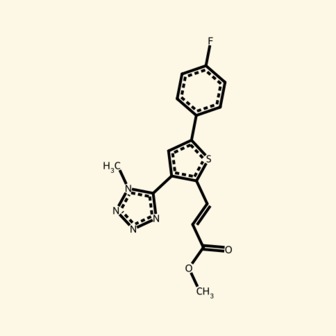 COC(=O)/C=C/c1sc(-c2ccc(F)cc2)cc1-c1nnnn1C